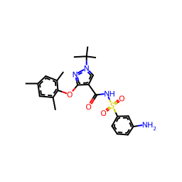 Cc1cc(C)c(Oc2nn(C(C)(C)C)cc2C(=O)NS(=O)(=O)c2cccc(N)c2)c(C)c1